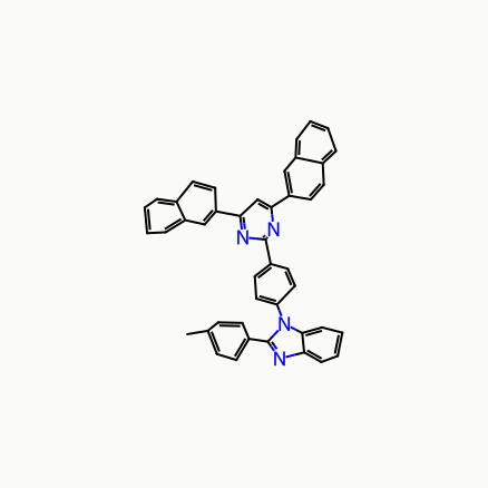 Cc1ccc(-c2nc3ccccc3n2-c2ccc(-c3nc(-c4ccc5ccccc5c4)cc(-c4ccc5ccccc5c4)n3)cc2)cc1